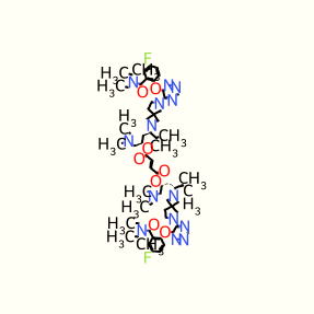 CCN(C)C[C@@H](C[C@H](C(C)C)N1CC2(CCN(c3ncnnc3Oc3ccc(F)cc3C(=O)N(CC)C(C)C)C2)C1)OC(=O)/C=C/C(=O)O[C@H](C[C@H](C(C)C)N1CC2(CCN(c3ncnnc3Oc3ccc(F)cc3C(=O)N(CC)C(C)C)C2)C1)CN(C)CC